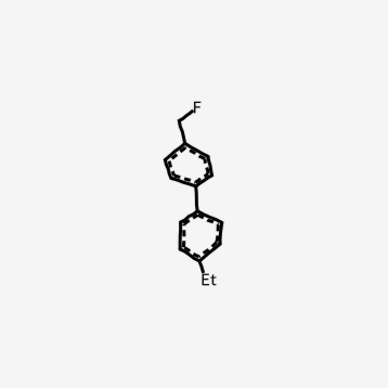 CCc1ccc(-c2ccc(CF)cc2)cc1